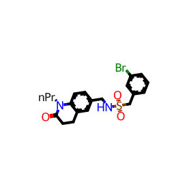 CCCN1C(=O)CCc2cc(CNS(=O)(=O)Cc3cccc(Br)c3)ccc21